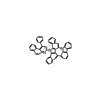 c1ccc(-c2nc(-n3c4c5ccccc5cc5c6cccc7c8ccccc8n(c8cc9ccccc9c3c8c54)c67)nc3ccc4ccccc4c23)cc1